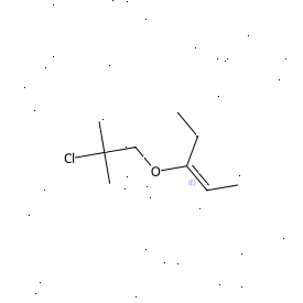 C/C=C(\CC)OCC(C)(C)Cl